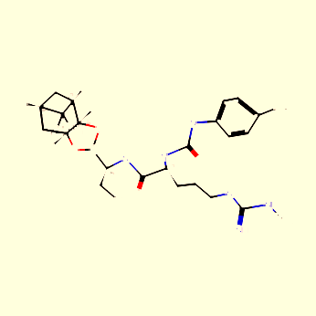 CCCCc1ccc(NC(=O)N[C@@H](CCCNC(=N)N[N+](=O)[O-])C(=O)N[C@@H](CC(C)C)B2O[C@@H]3C[C@@H]4C[C@@H](C4(C)C)[C@]3(C)O2)cc1